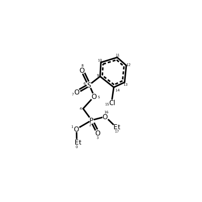 CCOP(=O)(COS(=O)(=O)c1ccccc1Cl)OCC